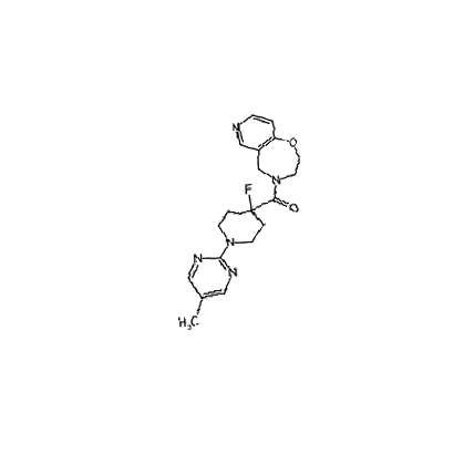 Cc1cnc(N2CCC(F)(C(=O)N3CCOc4ccncc4C3)CC2)nc1